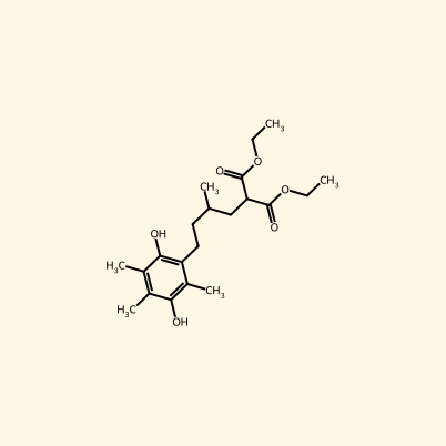 CCOC(=O)C(CC(C)CCc1c(C)c(O)c(C)c(C)c1O)C(=O)OCC